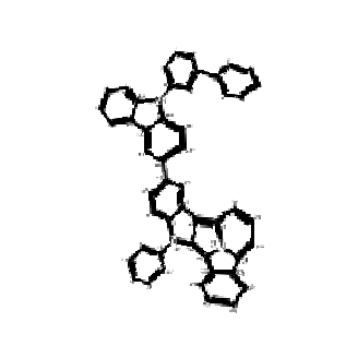 c1ccc(-c2cccc(-n3c4ccccc4c4cc(-c5ccc6c(c5)c5c(c7c8ccccc8c8cccc5n87)n6-c5ccccc5)ccc43)c2)cc1